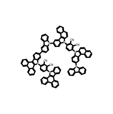 N#Cc1c(-n2c3ccc(-n4c5ccccc5c5ccccc54)cc3c3c4ccccc4ccc32)ccc(-n2c3ccc(-n4c5ccccc5c5cc(-c6ccc7c8c9ccccc9c9ccccc9c8n(-c8ccc(-n9c%10ccccc%10c%10c%11ccccc%11c%11ccccc%11c%109)c(C#N)c8C#N)c7c6)ccc54)cc3c3c4ccccc4ccc32)c1C#N